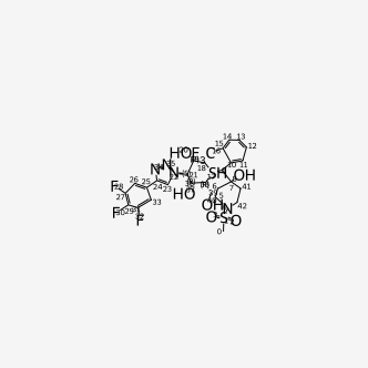 CS(=O)(=O)N1CCC(O)(C(c2ccccc2C(F)(F)F)[SH]2C[C@H](O)[C@H](n3cc(-c4cc(F)c(F)c(F)c4)nn3)[C@@H](O)[C@H]2CO)CC1